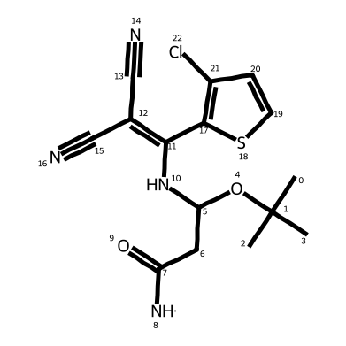 CC(C)(C)OC(CC([NH])=O)NC(=C(C#N)C#N)c1sccc1Cl